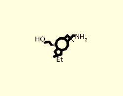 CC[C@]1(C)CC2CCC3C(CC[C@H](CCCO)C2C1)C[C@@]3(C)CN